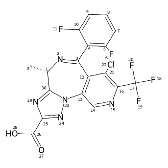 C[C@@H]1N=C(c2c(F)cccc2F)c2c(cnc(C(F)(F)F)c2Cl)-n2nc(C(=O)O)nc21